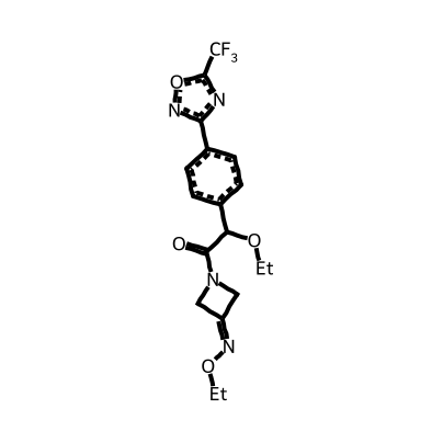 CCON=C1CN(C(=O)C(OCC)c2ccc(-c3noc(C(F)(F)F)n3)cc2)C1